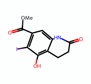 COC(=O)c1cc2c(c(O)c1I)CCC(=O)N2